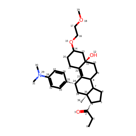 CCC(=O)[C@H]1CCC2C3CC[C@@]4(O)CC(OCCOC)CCC4=C3[C@@H](c3ccc(N(C)C)cc3)C[C@@]21C